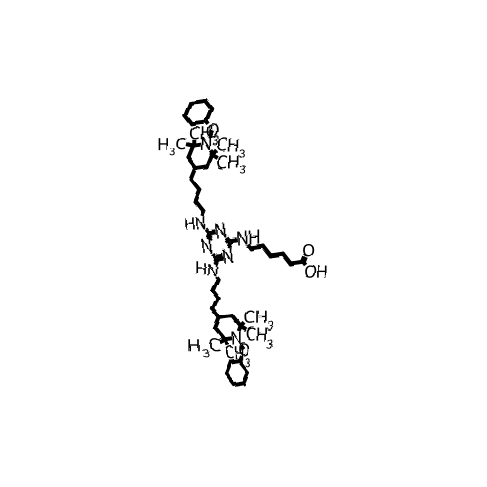 CC1(C)CC(CCCCNc2nc(NCCCCCC(=O)O)nc(NCCCCC3CC(C)(C)N(OC4CCCCC4)C(C)(C)C3)n2)CC(C)(C)N1OC1CCCCC1